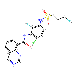 O=C(Nc1c(Cl)ccc(NS(=O)(=O)CCCF)c1F)c1cccc2cncnc12